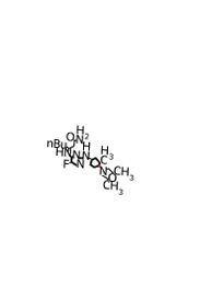 CCCCC(CC(N)=O)Nc1nc(Nc2ccc(N3CC(C)OC(C)C3)c(C)c2)ncc1F